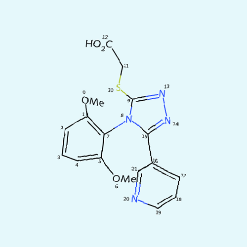 COc1cccc(OC)c1-n1c(SCC(=O)O)nnc1-c1cccnc1